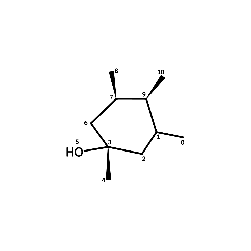 CC1C[C@](C)(O)C[C@@H](C)[C@H]1C